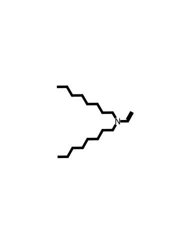 C=CN(CCCCCCCC)CCCCCCCC